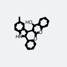 Cc1ccc2[nH]c(-c3ccccc3)c(-c3c(O)c4ccccc4oc3=O)c2c1